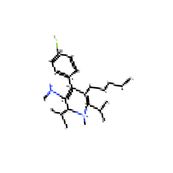 CCCCCC1=C(C(C)C)N(C)C(C(C)C)C(NC)=C1c1ccc(F)cc1